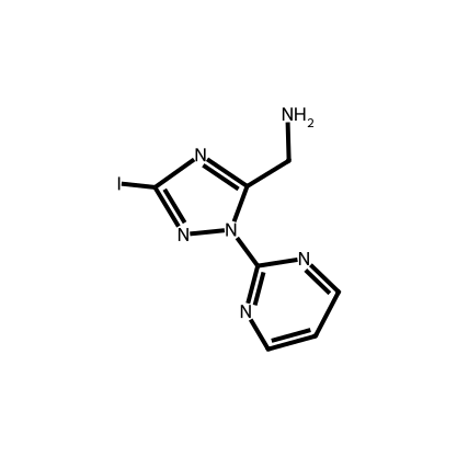 NCc1nc(I)nn1-c1ncccn1